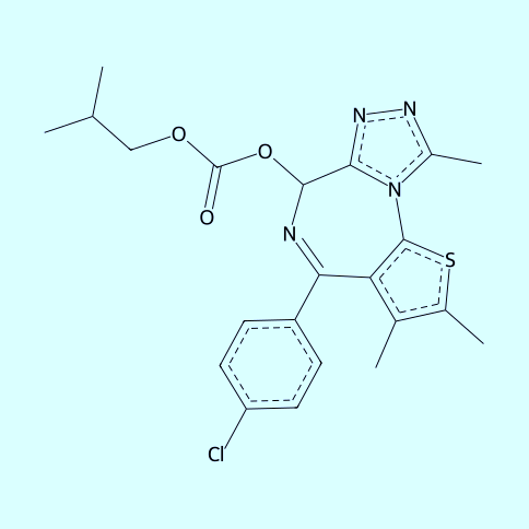 Cc1sc2c(c1C)C(c1ccc(Cl)cc1)=NC(OC(=O)OCC(C)C)c1nnc(C)n1-2